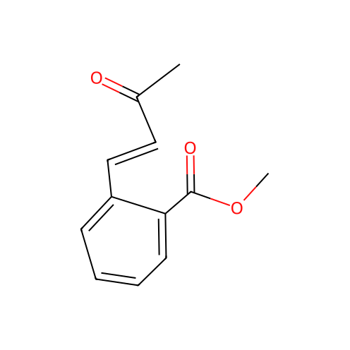 COC(=O)c1ccccc1/C=C/C(C)=O